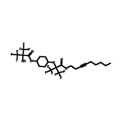 CCCCCC#CCCOC(=O)C(OC1CCC(OC(=O)C(O)(C(F)(F)F)C(F)(F)F)CC1)(C(F)(F)F)C(F)(F)F